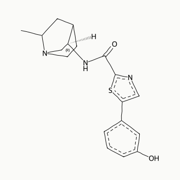 CC1CC2CCN1C[C@@H]2NC(=O)c1ncc(-c2cccc(O)c2)s1